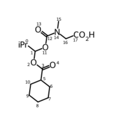 CC(C)C(OC(=O)C1CCCCC1)OC(=O)N(C)CC(=O)O